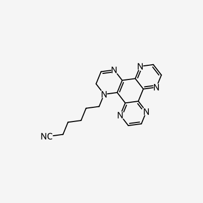 N#CCCCCCN1CC=Nc2c1c1nccnc1c1nccnc21